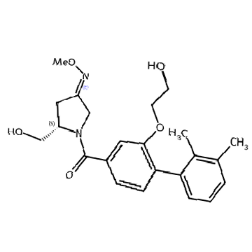 CO/N=C1\C[C@@H](CO)N(C(=O)c2ccc(-c3cccc(C)c3C)c(OCCO)c2)C1